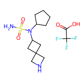 NS(=O)(=O)N(C1CCCC1)C1CC2(CNC2)C1.O=C(O)C(F)(F)F